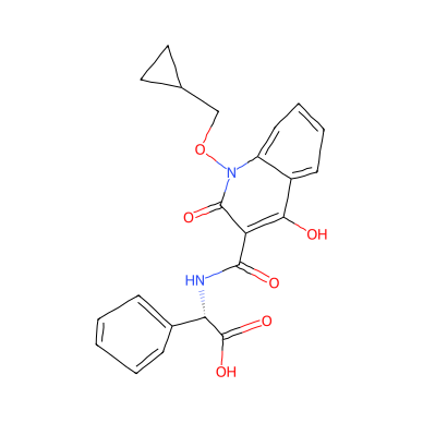 O=C(N[C@H](C(=O)O)c1ccccc1)c1c(O)c2ccccc2n(OCC2CC2)c1=O